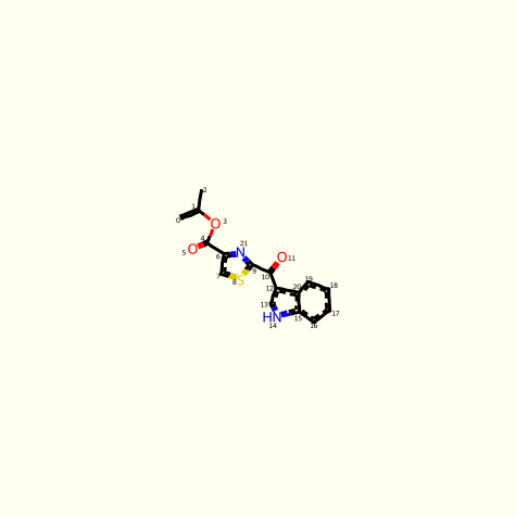 C=C(C)OC(=O)c1csc(C(=O)c2c[nH]c3ccccc23)n1